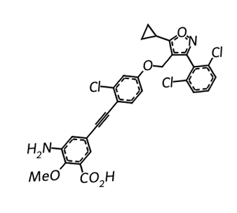 COc1c(N)cc(C#Cc2ccc(OCc3c(-c4c(Cl)cccc4Cl)noc3C3CC3)cc2Cl)cc1C(=O)O